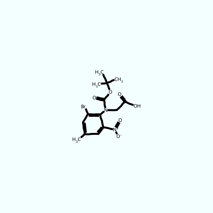 Cc1cc(Br)c(N(CC(=O)O)C(=O)OC(C)(C)C)c([N+](=O)[O-])c1